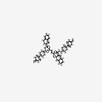 O=C(/C=C/C(=O)ON(CCN1CCN(c2ncc(F)cn2)CC1)C1=Nc2ccccc2CC1)ON(CCN1CCN(c2ncc(F)cn2)CC1)C1=Nc2ccccc2CC1